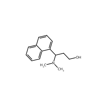 CN(C)C(CCO)c1cccc2ccccc12